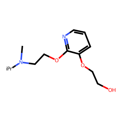 CC(C)N(C)CCOc1ncccc1OCCO